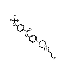 O=C(Oc1ccc([C@H]2CC[Si@H](CCCCF)CC2)cc1)c1ccc(OC(F)(F)F)cc1